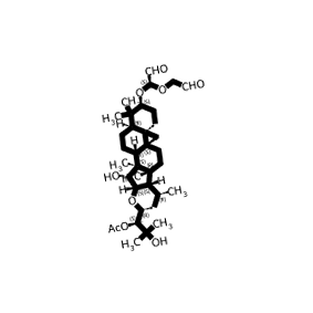 CC(=O)O[C@@H]([C@H]1C[C@@H](C)[C@@H]2[C@H](O1)[C@H](O)[C@@]1(C)[C@@H]3CC[C@H]4C(C)(C)[C@@H](O[C@@H](C=O)OCC=O)CC[C@@]45C[C@@]35CC[C@]21C)C(C)(C)O